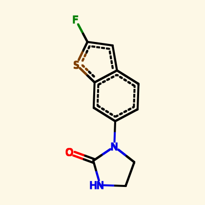 O=C1NCCN1c1ccc2cc(F)sc2c1